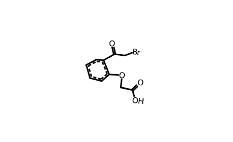 O=C(O)COc1ccccc1C(=O)CBr